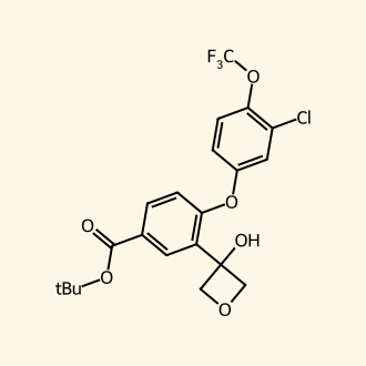 CC(C)(C)OC(=O)c1ccc(Oc2ccc(OC(F)(F)F)c(Cl)c2)c(C2(O)COC2)c1